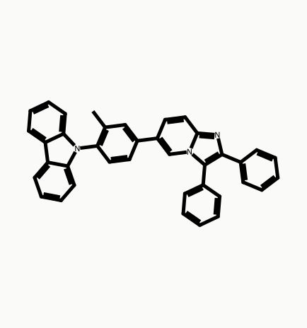 Cc1cc(-c2ccc3nc(-c4ccccc4)c(-c4ccccc4)n3c2)ccc1-n1c2ccccc2c2ccccc21